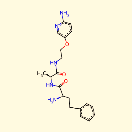 C[C@H](NC(=O)[C@H](N)CCc1ccccc1)C(=O)NCCOc1ccc(N)nc1